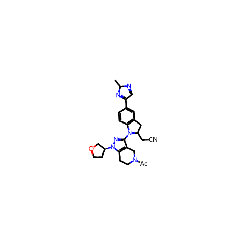 CC(=O)N1CCc2c(c(N3c4ccc(C5=NC(C)N=C5)cc4CC3CC#N)nn2[C@H]2CCOC2)C1